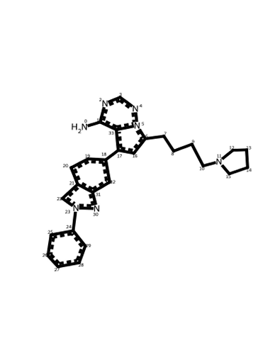 Nc1ncnn2c(CCCCN3CCCC3)cc(-c3ccc4cn(-c5ccccc5)nc4c3)c12